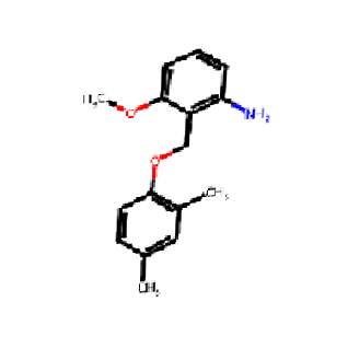 COc1cccc(N)c1COc1ccc(C)cc1C